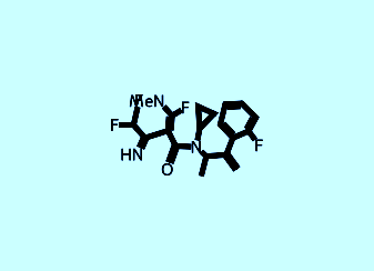 C=C(c1ccccc1F)C(C)N(C(=O)/C(C(=N)C(F)F)=C(\F)NC)C1CC1